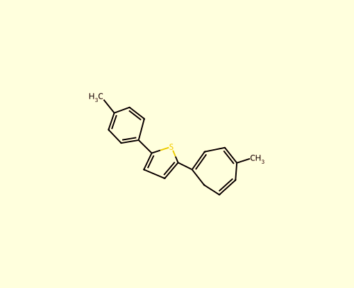 CC1=CC=C(c2ccc(-c3ccc(C)cc3)s2)CC=C1